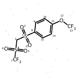 O=S(=O)(CS(=O)(=O)C(F)(F)F)c1ccc(OC(F)(F)F)cc1